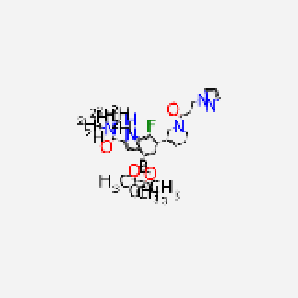 [2H]C([2H])([2H])N(C(=O)c1cc2c(B3OC(C)(C)C(C)(C)O3)cc(C3=CCCN(C(=O)CCn4cccn4)C3)c(F)c2[nH]1)C([2H])([2H])[2H]